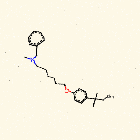 CN(CCCCCCOc1ccc(C(C)(C)CC(C)(C)C)cc1)Cc1ccccc1